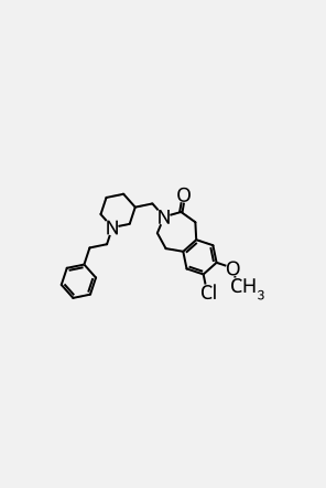 COc1cc2c(cc1Cl)CCN(CC1CCCN(CCc3ccccc3)C1)C(=O)C2